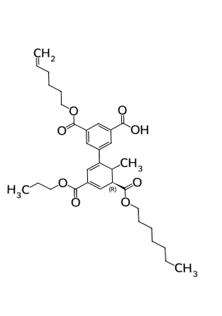 C=CCCCCOC(=O)c1cc(C(=O)O)cc(C2=CC(C(=O)OCCC)=C[C@H](C(=O)OCCCCCCC)C2C)c1